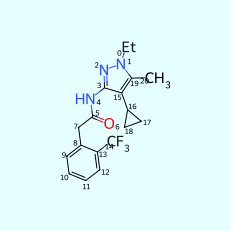 CCn1nc(NC(=O)Cc2ccccc2C(F)(F)F)c(C2CC2)c1C